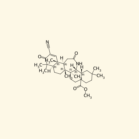 COC(=O)C12CCC(C)(C)C[C@H]1[C@H]1NC(=O)C[C@@H]3[C@@]4(C)C=C(C#N)C(=O)C(C)(C)[C@@H]4CC[C@@]3(C)[C@]1(C)CC2